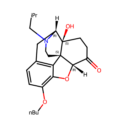 CCCCOc1ccc2c3c1O[C@H]1C(=O)CC[C@@]4(O)[C@@H](C2)N(CC(C)C)CC[C@]314